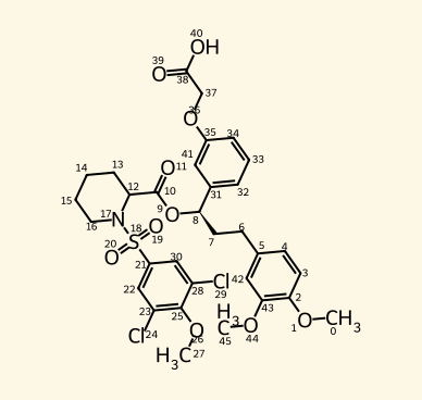 COc1ccc(CC[C@@H](OC(=O)C2CCCCN2S(=O)(=O)c2cc(Cl)c(OC)c(Cl)c2)c2cccc(OCC(=O)O)c2)cc1OC